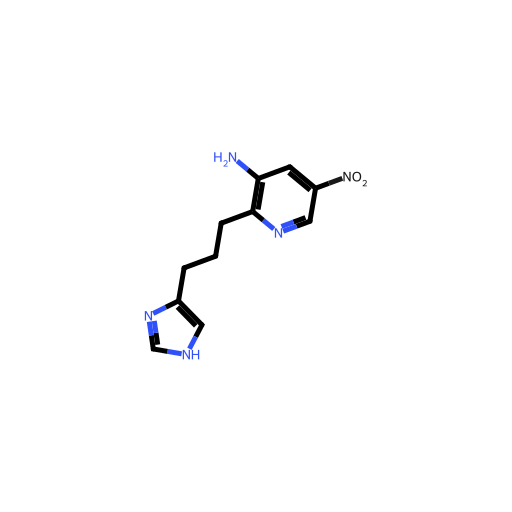 Nc1cc([N+](=O)[O-])cnc1CCCc1c[nH]cn1